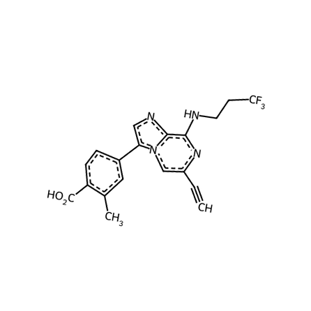 C#Cc1cn2c(-c3ccc(C(=O)O)c(C)c3)cnc2c(NCCC(F)(F)F)n1